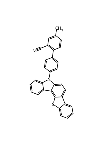 Cc1ccc(-c2ccc(-n3c4ccccc4c4c5sc6ccccc6c5ccc43)cc2)c(C#N)c1